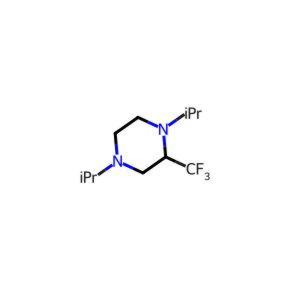 CC(C)N1CCN(C(C)C)C(C(F)(F)F)C1